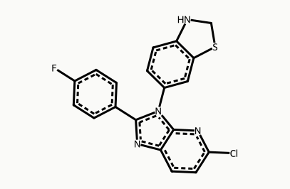 Fc1ccc(-c2nc3ccc(Cl)nc3n2-c2ccc3c(c2)SCN3)cc1